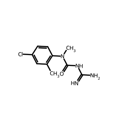 Cc1cc(Cl)ccc1N(C)C(=O)NC(=N)N